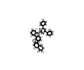 c1ccc(-c2cc(-c3ccccc3)nc(-n3c4ccccc4c4c5oc6ccc7ccccc7c6c5ccc43)n2)cc1